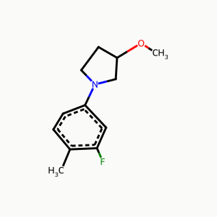 COC1CCN(c2ccc(C)c(F)c2)C1